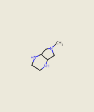 CN1CC2NCCNC2C1